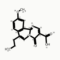 CCCc1cn2c(=O)c(C(=O)O)cnc2c2cc(OC)ccc12